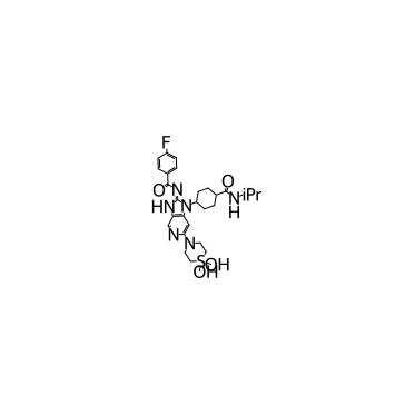 CC(C)NC(=O)C1CCC(n2c(=NC(=O)c3ccc(F)cc3)[nH]c3cnc(N4CCS(O)(O)CC4)cc32)CC1